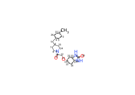 Cc1ccc(CC2CCN(C(=O)COc3ccc4[nH]c(=O)[nH]c4c3)CC2)cc1